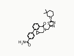 CC1(C)CCCN(c2nnc(CN(CC3CC3)C(=O)c3cccc(-c4ccc(C(N)=O)cc4)c3)s2)C1